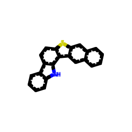 c1ccc2cc3c(cc2c1)sc1ccc2c4ccccc4[nH]c2c13